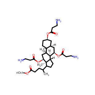 CCCCCCCCOC(=O)CCC(C)C1CC[C@H]2[C@@H]3[C@H](OC(=O)CCN)C[C@@H]4C[C@H](OC(=O)CCN)CC[C@]4(C)[C@H]3C[C@H](OC(=O)CCN)[C@]12C